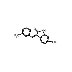 Cc1ccc2c(c1)NC(=O)C2=Cc1cccc(C(F)(F)F)c1